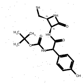 CC(C)(C)OC(=O)NC(C(=O)N[C@@H]1C(=O)N[C@@H]1CS)c1ccc(O)cc1